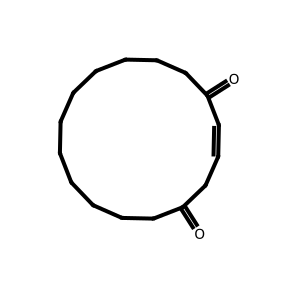 O=C1C=CCC(=O)CCCCCCCCCCC1